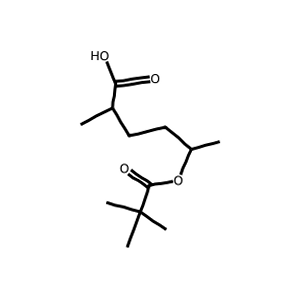 CC(CCC(C)C(=O)O)OC(=O)C(C)(C)C